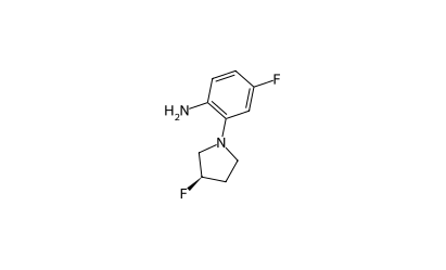 Nc1ccc(F)cc1N1CC[C@@H](F)C1